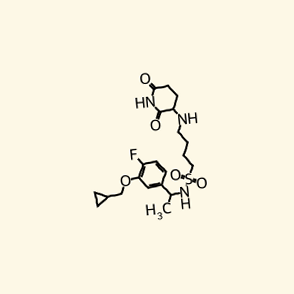 CC(NS(=O)(=O)CCCCNC1CCC(=O)NC1=O)c1ccc(F)c(OCC2CC2)c1